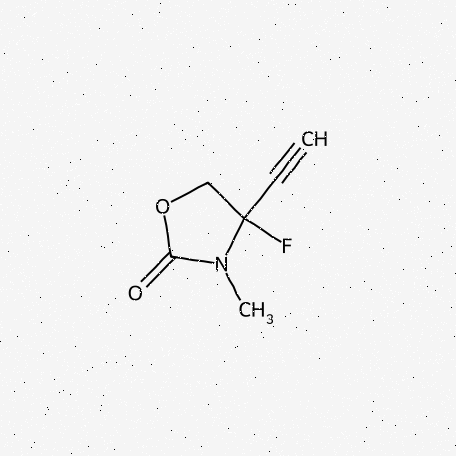 C#CC1(F)COC(=O)N1C